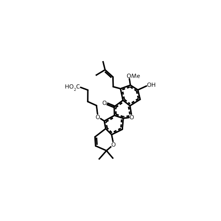 COc1c(O)cc2oc3cc4c(c(OCCCC(=O)O)c3c(=O)c2c1CC=C(C)C)C=CC(C)(C)O4